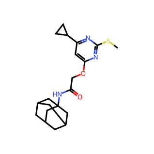 CSc1nc(OCC(=O)NC23CC4CC(CC(C4)C2)C3)cc(C2CC2)n1